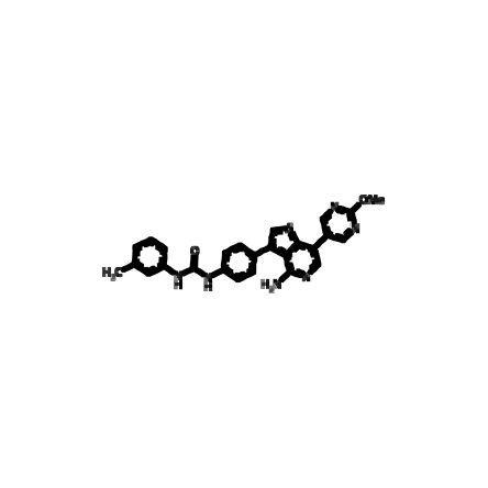 COc1ncc(-c2cnc(N)c3c(-c4ccc(NC(=O)Nc5cccc(C)c5)cc4)csc23)cn1